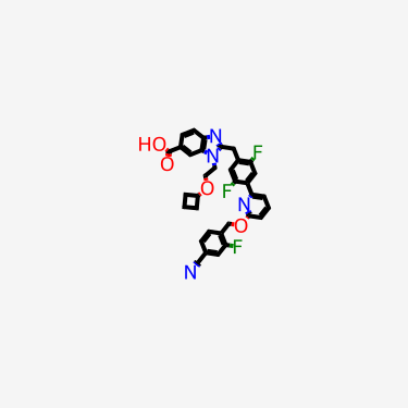 N#Cc1ccc(COc2cccc(-c3cc(F)c(Cc4nc5ccc(C(=O)O)cc5n4CCOC4CCC4)cc3F)n2)c(F)c1